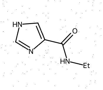 CCNC(=O)c1c[nH][c]n1